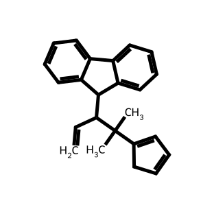 C=CC(C1c2ccccc2-c2ccccc21)C(C)(C)C1=CC=CC1